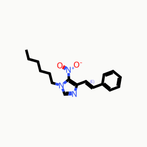 CCCCCCn1cnc(/C=C/c2ccccc2)c1[N+](=O)[O-]